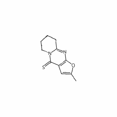 Cc1cc2c(=S)n3c(nc2o1)CCCC3